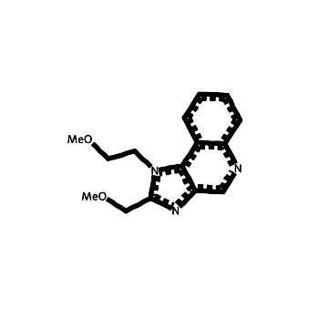 COCCn1c(COC)nc2cnc3ccccc3c21